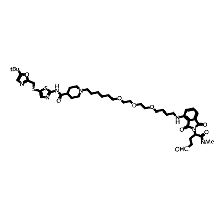 CNC(=O)C(CCC=O)N1C(=O)c2cccc(NCCCCOCCOCCOCCCCCCN3CCC(C(=O)Nc4ncc(SCc5ncc(C(C)(C)C)o5)s4)CC3)c2C1=O